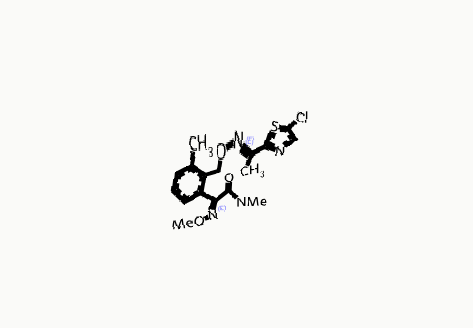 CNC(=O)/C(=N/OC)c1cccc(C)c1CO/N=C(\C)c1ncc(Cl)s1